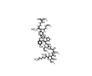 Cc1ccc(C[C@H](NC(=O)[C@@H]2CCCN2C(=O)[C@@H](CCCN)NC(=O)CNC(=O)[C@H](C)NC(=O)[C@@H](NC(=O)C(N)CCCCN)[C@@H](O)CN)C(=O)N[C@@H](CCCCN)C(=O)N/C(=C\CCNC(=N)N)C(=O)O)cc1